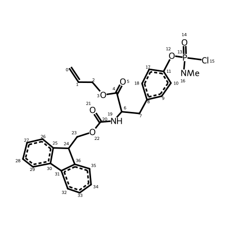 C=CCOC(=O)C(Cc1ccc(OP(=O)(Cl)NC)cc1)NC(=O)OCC1c2ccccc2-c2ccccc21